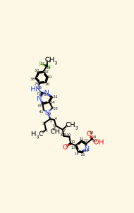 CCCC(C[C@@H](C)C(C)CCC(=O)c1ccnc(C(=O)O)c1)N1Cc2cnc(Nc3ccc(C(C)(F)F)cc3)nc2C1